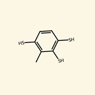 Cc1c(S)ccc(S)c1S